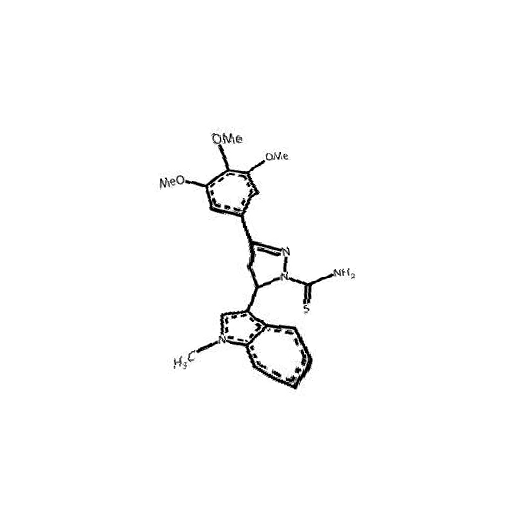 COc1cc(C2=NN(C(N)=S)C(c3cn(C)c4ccccc34)C2)cc(OC)c1OC